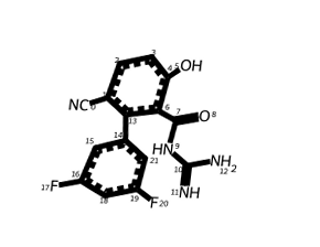 N#Cc1ccc(O)c(C(=O)NC(=N)N)c1-c1cc(F)cc(F)c1